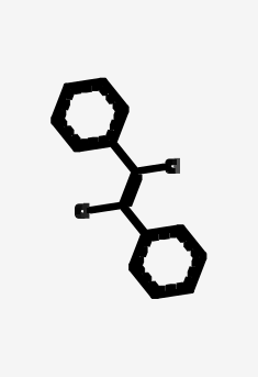 ClC(=C(Cl)c1ccccc1)c1ccccc1